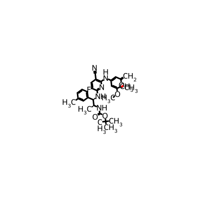 C=C(/C=C(\C=C(/C)OC)Nc1nc(N[C@H](c2cccc(C)c2)[C@H](C)NC(=O)OC(C)(C)C)c(F)cc1C#N)OC